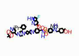 CC(C)c1ccccc1[C@@H]1CN(Cc2ccnc3c2OC(C)(C)CO3)CCN1C1CC2(C1)CN(c1ccc(C(=O)NS(=O)(=O)c3ccc(NCC4CCC(C)(O)CC4)c([N+](=O)[O-])c3)c(Oc3cnc4[nH]cc(F)c4c3)c1)C2